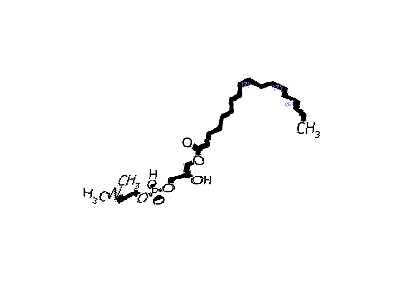 CC/C=C/C/C=C\C/C=C\CCCCCCCC(=O)OCC(O)COP(=O)(O)OCCN(C)C